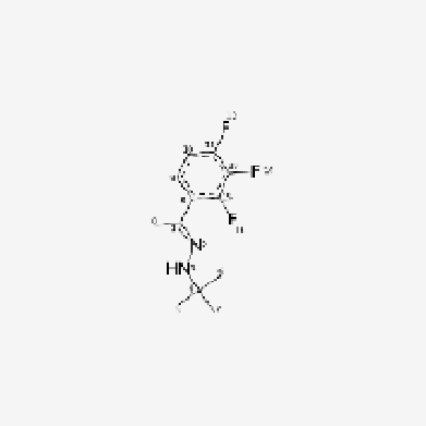 CC(=NNC(C)(C)C)c1ccc(F)c(F)c1F